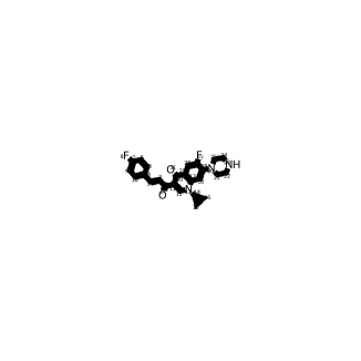 O=C(C=Cc1ccc(F)cc1)c1cn(C2CC2)c2cc(N3CCNCC3)c(F)cc2c1=O